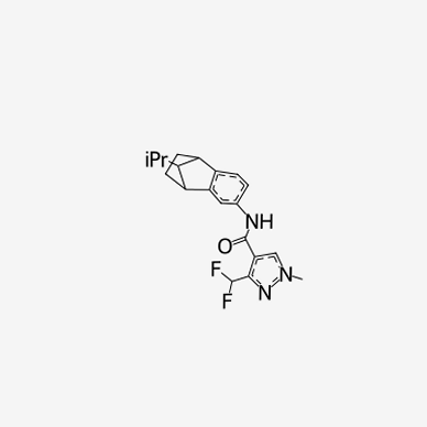 CC(C)C1C2CCC1c1cc(NC(=O)c3cn(C)nc3C(F)F)ccc12